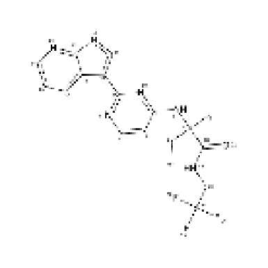 CCC(C)(Nc1ccnc(C2=C=Nc3ncccc32)n1)C(=O)NCC(F)(F)F